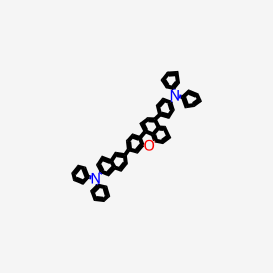 c1ccc(N(c2ccccc2)c2ccc(-c3ccc4c5c(cccc35)Oc3cc(-c5ccc6cc(N(c7ccccc7)c7ccccc7)ccc6c5)ccc3-4)cc2)cc1